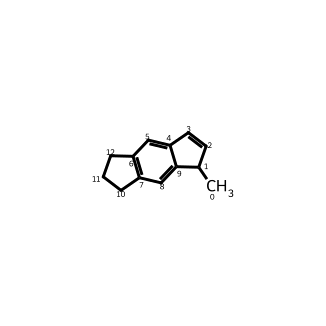 CC1C=Cc2cc3c(cc21)CCC3